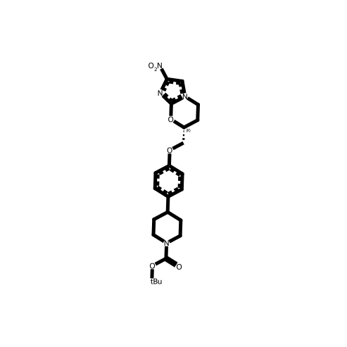 CC(C)(C)OC(=O)N1CCC(c2ccc(OC[C@H]3CCn4cc([N+](=O)[O-])nc4O3)cc2)CC1